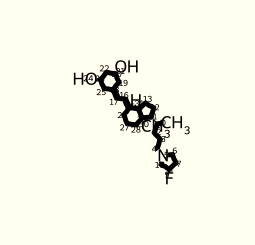 CC(CCCN1CC[C@@H](F)C1)[C@H]1CC[C@H]2/C(=C/C=C3C[C@@H](O)C[C@H](O)C3)CCC[C@]12C